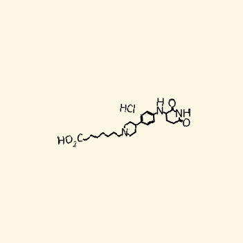 Cl.O=C(O)CCCCCCCN1CCC(c2ccc(NC3CCC(=O)NC3=O)cc2)CC1